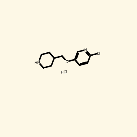 Cl.Clc1ccc(OCC2CCNCC2)cn1